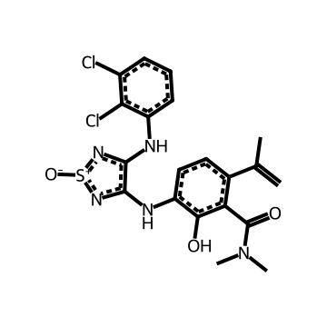 C=C(C)c1ccc(Nc2n[s+]([O-])nc2Nc2cccc(Cl)c2Cl)c(O)c1C(=O)N(C)C